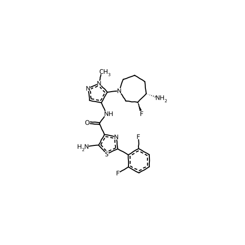 Cn1ncc(NC(=O)c2nc(-c3c(F)cccc3F)sc2N)c1N1CCC[C@H](N)[C@@H](F)C1